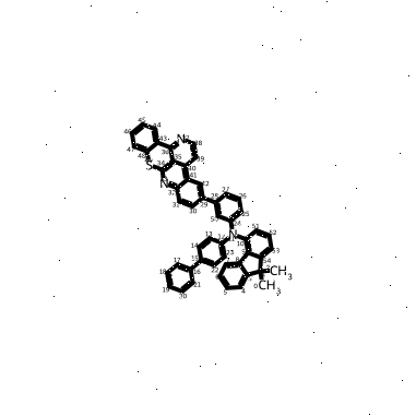 CC1(C)c2ccccc2-c2c(N(c3ccc(-c4ccccc4)cc3)c3cccc(-c4ccc5nc6c7c(nccc7c5c4)-c4ccccc4S6)c3)cccc21